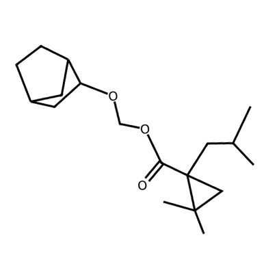 CC(C)CC1(C(=O)OCOC2CC3CCC2C3)CC1(C)C